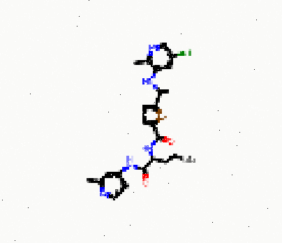 Cc1cc(NC(=O)C(CCC(C)(C)C)NC(=O)c2ccc(C(C)Nc3cc(Cl)cnc3C)s2)ccn1